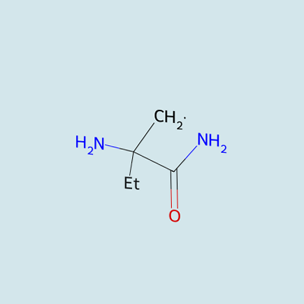 [CH2]C(N)(CC)C(N)=O